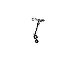 COC(CO)COCCCCCCCCOc1ccc(-c2ccccc2)cc1